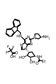 CCC(=O)N[C@H]1C[C@@H](n2cnc3c(NCC4c5ccccc5-c5ccccc54)nc(N4CC[C@@H](N)C4)nc32)[C@H](O)[C@@H]1O.O=C(O)C(F)(F)F